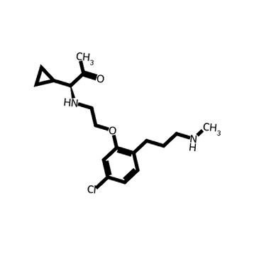 CNCCCc1ccc(Cl)cc1OCCN[C@H](C(C)=O)C1CC1